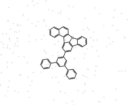 c1ccc(-c2cc(-c3ccccc3)cc(-c3cc4c5ccccc5n5c6ccc7ccccc7c6c(c3)c45)c2)cc1